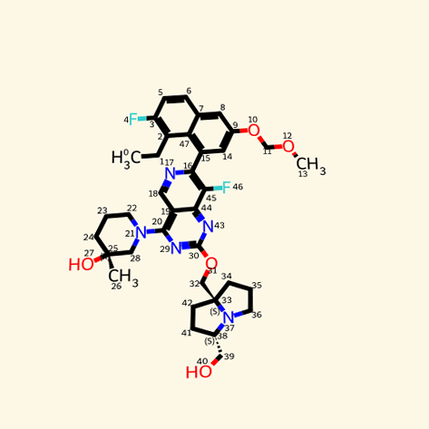 CCc1c(F)ccc2cc(OCOC)cc(-c3ncc4c(N5CCC[C@@](C)(O)C5)nc(OC[C@@]56CCCN5[C@H](CO)CC6)nc4c3F)c12